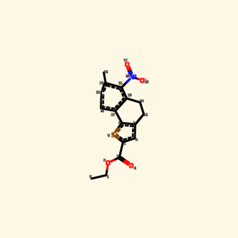 CCOC(=O)c1cc2c(s1)-c1ccc(C)c([N+](=O)[O-])c1CC2